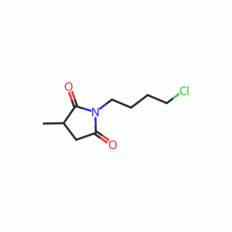 CC1CC(=O)N(CCCCCl)C1=O